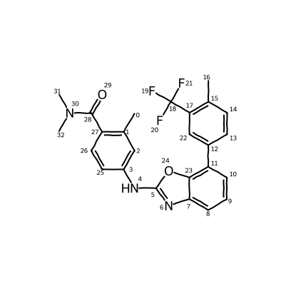 Cc1cc(Nc2nc3cccc(-c4ccc(C)c(C(F)(F)F)c4)c3o2)ccc1C(=O)N(C)C